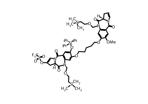 COc1cc2c(cc1OCCCCCOc1cc3c(cc1O[Si](C(C)C)(C(C)C)C(C)C)C(=O)N1C=C(OS(=O)(=O)C(F)(F)F)C[C@H]1C(=O)N3COCC[Si](C)(C)C)N(COCC[Si](C)(C)C)C(=O)[C@@H]1C[C]=CN1C2=O